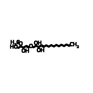 C=CCCCCCCCCC/C=C/C(O)C(O)CO/C=C/C(O)C(CO)OC